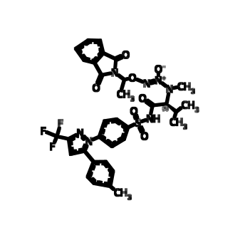 Cc1ccc(-c2cc(C(F)(F)F)nn2-c2ccc(S(=O)(=O)NC(=O)[C@H](C(C)C)N(C)[N+]([O-])=NOC(C)N3C(=O)c4ccccc4C3=O)cc2)cc1